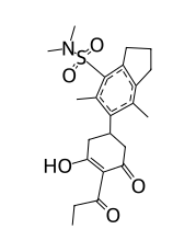 CCC(=O)C1=C(O)CC(c2c(C)c3c(c(S(=O)(=O)N(C)C)c2C)CCC3)CC1=O